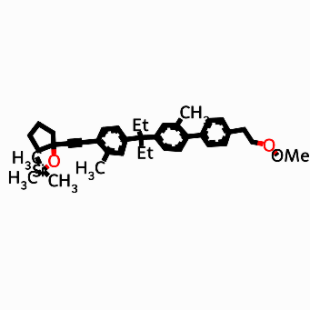 CCC(CC)(c1ccc(C#CC2(O[Si](C)(C)C)CCCC2)c(C)c1)c1ccc(-c2ccc(CCOOC)cc2)c(C)c1